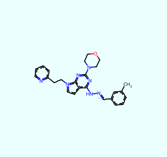 Cc1cccc(/C=N/Nc2nc(N3CCOCC3)nc3c2ccn3CCc2ccccn2)c1